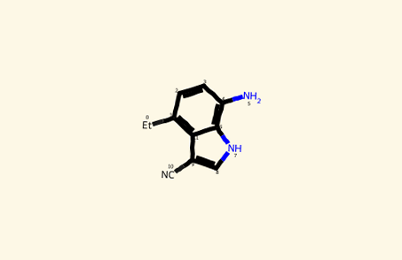 CCc1ccc(N)c2[nH]cc(C#N)c12